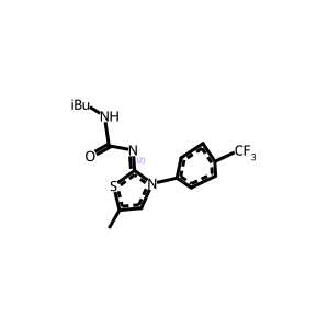 CCC(C)NC(=O)/N=c1\sc(C)cn1-c1ccc(C(F)(F)F)cc1